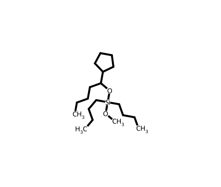 CCCCC(O[Si](CCCC)(CCCC)OC)C1CCCC1